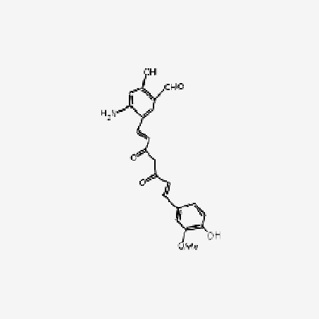 COc1cc(/C=C/C(=O)CC(=O)/C=C/c2cc(C=O)c(O)cc2N)ccc1O